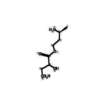 C[C@H](N)CCOC(=O)C(O)CC(=O)O